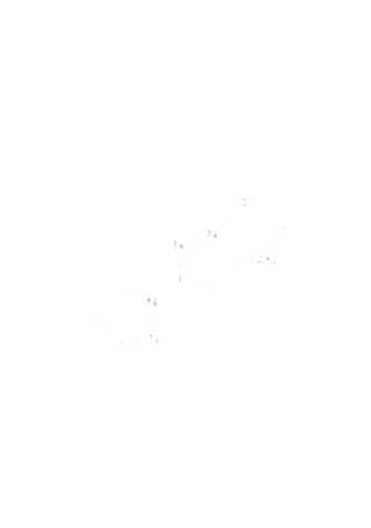 c1cnn(-c2cc3ncccn3n2)c1